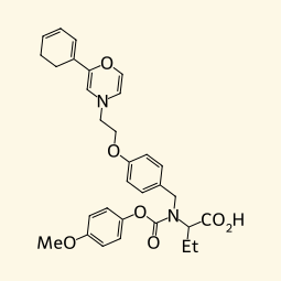 CCC(C(=O)O)N(Cc1ccc(OCCN2C=COC(C3=CC=CCC3)=C2)cc1)C(=O)Oc1ccc(OC)cc1